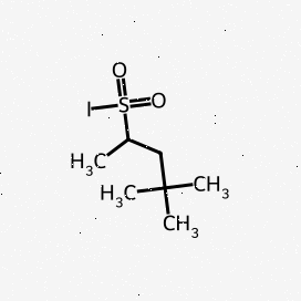 CC(CC(C)(C)C)S(=O)(=O)I